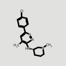 Cc1cc(-c2ccc(Cl)cc2)nnc1N[C@@H]1CCCN(C)C1